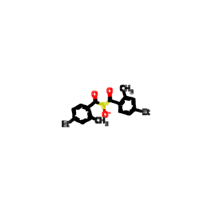 CCc1ccc(C(=O)[S+]([O-])C(=O)c2ccc(CC)cc2C)c(C)c1